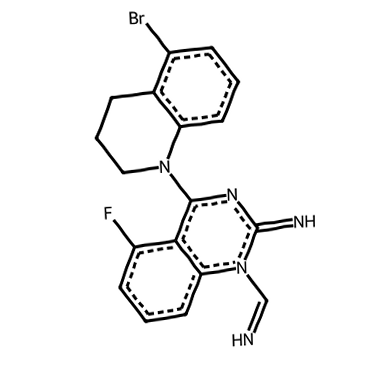 N=Cn1c(=N)nc(N2CCCc3c(Br)cccc32)c2c(F)cccc21